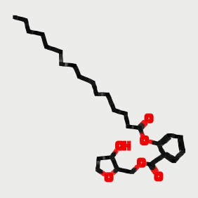 CCCCCCCCCCCCCCCC(=O)Oc1ccccc1C(=O)OCC1OCCC1O